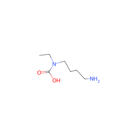 CCN(CCCCN)C(=O)O